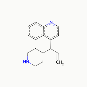 C=CC(c1ccnc2ccccc12)C1CCNCC1